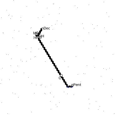 CCCCC/C=C\C/C=C\CCCCCCCC(=O)OCCCCCCCCCCCCCCCCCCCCCCCCCCCCCCCC(=O)NC(CO)C(O)C(O)CCCCCCCCCCCCCC